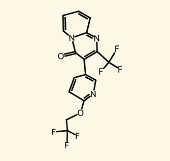 O=c1c(-c2ccc(OCC(F)(F)F)nc2)c(C(F)(F)F)nc2ccccn12